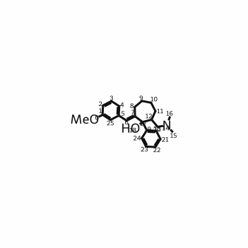 COc1cccc(/C=C2\CCCCC(CN(C)C)C2(O)c2ccccc2)c1